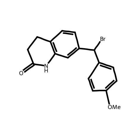 COc1ccc(C(Br)c2ccc3c(c2)NC(=O)CC3)cc1